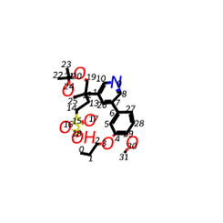 CCCOc1cc(-c2cncc(C3(CCS(=O)(=O)O)COC(C)(C)OC3)c2)ccc1OC